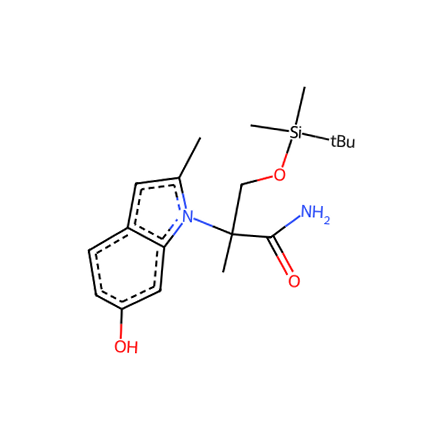 Cc1cc2ccc(O)cc2n1C(C)(CO[Si](C)(C)C(C)(C)C)C(N)=O